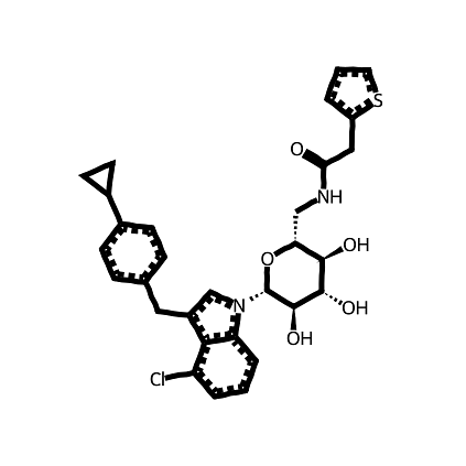 O=C(Cc1cccs1)NC[C@H]1O[C@@H](n2cc(Cc3ccc(C4CC4)cc3)c3c(Cl)cccc32)[C@H](O)[C@@H](O)[C@@H]1O